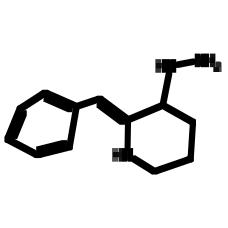 NNC1CCCNC1=Cc1ccccc1